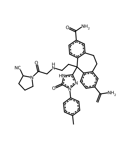 C=C(N)c1ccc2c(c1)CCc1cc(C(N)=O)ccc1C2(CCNCC(=O)N1CCCC1C#N)c1nn(-c2ccc(C)cc2)c(=O)[nH]1